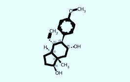 C=C[C@@H]1[C@@H](c2ccc(OC)cc2)[C@H](O)C[C@]2(C)[C@@H](O)CC[C@@H]12